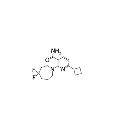 NC(=O)c1ccc(C2CCC2)nc1N1CCCC(F)(F)CC1